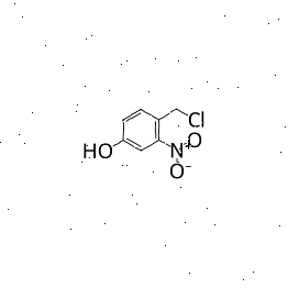 O=[N+]([O-])c1cc(O)ccc1CCl